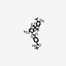 CC(C)c1cc(C(c2ccc(O)c(NC(=O)c3ccc(C(=O)NC(C)(C)C)cc3)c2)(C(F)(F)F)C(F)(F)F)ccc1O